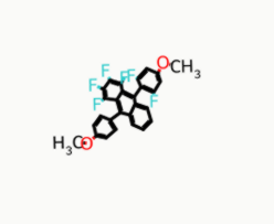 COc1ccc(-c2c3ccccc3c(-c3c(F)cc(OC)cc3F)c3c(F)c(F)c(F)c(F)c23)cc1